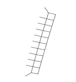 CC1CC2C3C4C5C6C7C8C9C%10CC(C)C%10(C)C9(C)C8(C)C7(C)C6(C)C5(C)C4(C)C3(C)C12C